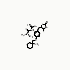 CC1(COc2ccc(CC3SC(=O)NC3=O)cc2)CCCCC1.CN(C)C(=N)NC(=N)N